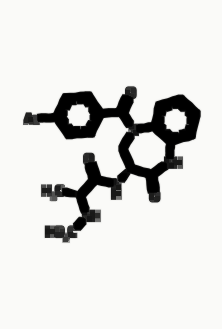 CC(=O)c1ccc(C(=O)N2C[C@H](NC(=O)[C@H](C)NC(=O)O)C(=O)Nc3ccccc32)cc1